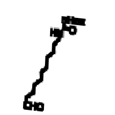 CCCCCCC(=O)NCCCCCCCCCCC=O